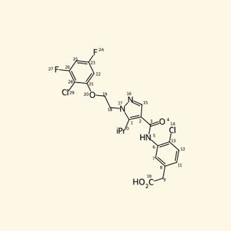 CC(C)c1c(C(=O)Nc2cc(CC(=O)O)ccc2Cl)cnn1CCOc1cc(F)cc(F)c1Cl